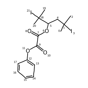 CC(C)(I)CC(OC(=O)C(=O)Oc1ccccc1)C(C)(C)I